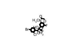 CC(c1ccc(Br)cc1Cl)C(O)(c1cc(F)c2c(c1)N(C)C(=O)CO2)C(F)(F)F